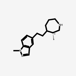 C[C@H]1CNCCCC1CCc1ccc2c(cnn2C)c1